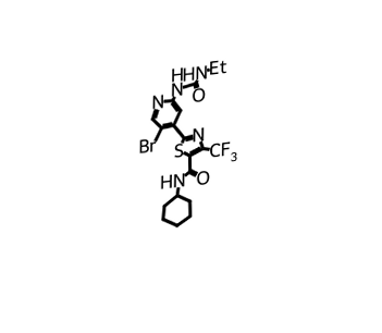 CCNC(=O)Nc1cc(-c2nc(C(F)(F)F)c(C(=O)NC3CCCCC3)s2)c(Br)cn1